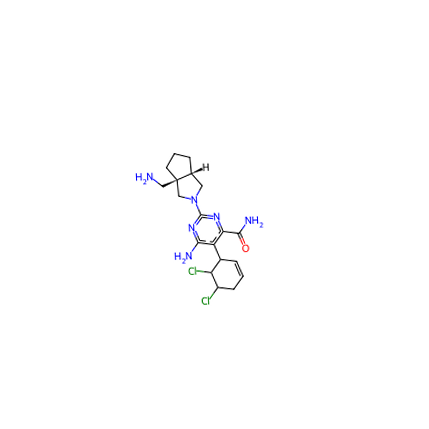 NC[C@@]12CCC[C@@H]1CN(c1nc(N)c(C3C=CCC(Cl)C3Cl)c(C(N)=O)n1)C2